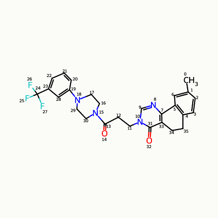 Cc1ccc2c(c1)-c1ncn(CCC(=O)N3CCN(c4cccc(C(F)(F)F)c4)CC3)c(=O)c1CC2